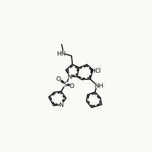 CNCc1cn(S(=O)(=O)c2cccnc2)c2cc(Nc3ccccc3)ccc12.Cl